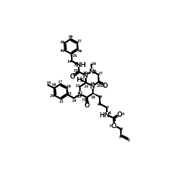 C=CCOC(=O)NCCC[C@H]1C(=O)N(Cc2ccc(C)cc2)C[C@H]2N1C(=O)CN(C)N2C(=O)NCc1ccccc1